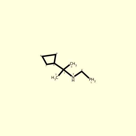 CC(C)(NCP)C1CCC1